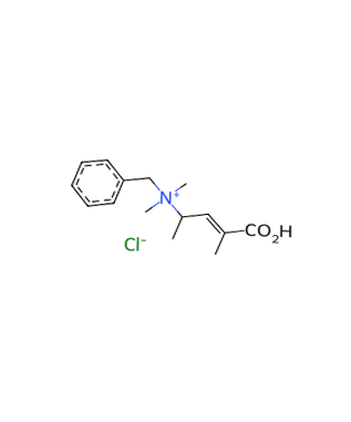 CC(=CC(C)[N+](C)(C)Cc1ccccc1)C(=O)O.[Cl-]